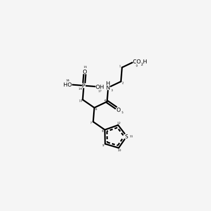 O=C(O)CCNC(=O)C(Cc1ccsc1)CP(=O)(O)O